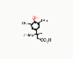 CCCCCCC(CC)(CC(=O)O)c1cc(C(C)(C)C)c(O)c(C(C)(C)C)c1